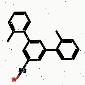 Cc1ccccc1-c1c[c]([Mg][Br])cc(-c2ccccc2C)c1